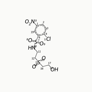 O=[N+]([O-])c1ccc(Cl)c(S(=O)(=O)NCCS(=O)(=O)CCO)c1